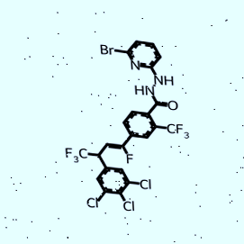 O=C(NNc1cccc(Br)n1)c1ccc(C(F)=CC(c2cc(Cl)c(Cl)c(Cl)c2)C(F)(F)F)cc1C(F)(F)F